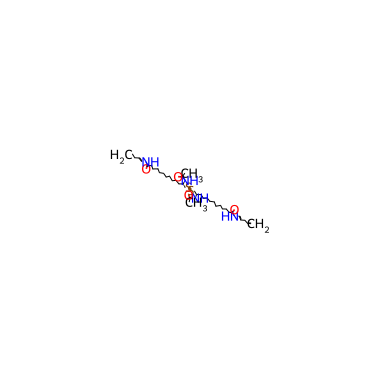 C=CC/C=C/NC(=O)CCCCCCCCCCC(CSSC[C@@H](CCCCCCCCCCC(=O)N/C=C/CC=C)NC(C)=O)NC(C)=O